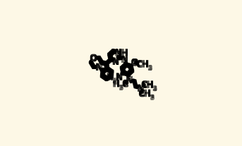 COc1cc(N(C)CCN(C)C)c(N)cc1Nc1nccc(-c2c3n(c4ccccc24)CCOC3)n1